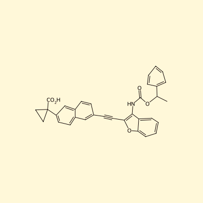 CC(OC(=O)Nc1c(C#Cc2ccc3cc(C4(C(=O)O)CC4)ccc3c2)oc2ccccc12)c1ccccc1